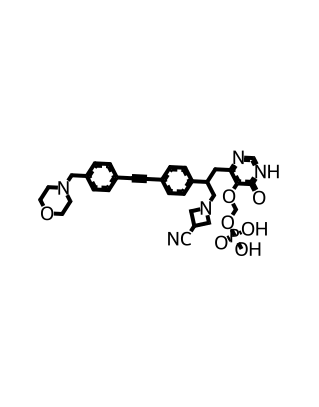 N#CC1CN(CC(Cc2nc[nH]c(=O)c2OCOP(=O)(O)O)c2ccc(C#Cc3ccc(CN4CCOCC4)cc3)cc2)C1